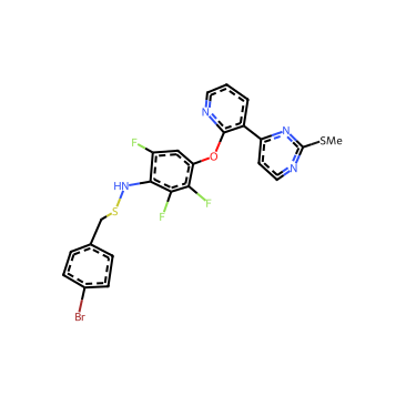 CSc1nccc(-c2cccnc2Oc2cc(F)c(NSCc3ccc(Br)cc3)c(F)c2F)n1